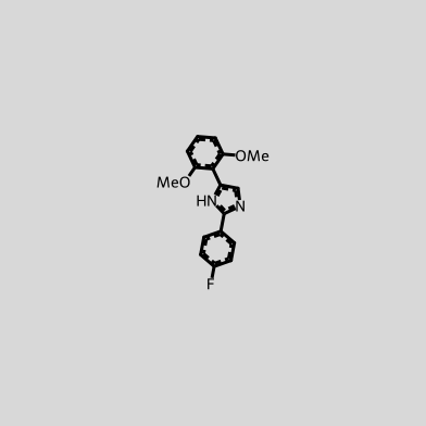 COc1cccc(OC)c1-c1cnc(-c2ccc(F)cc2)[nH]1